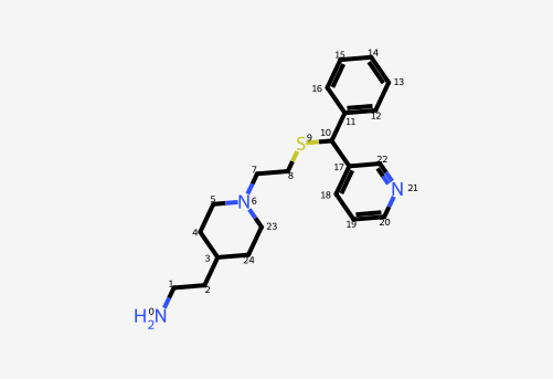 NCCC1CCN(CCSC(c2ccccc2)c2cccnc2)CC1